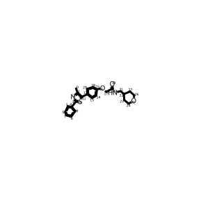 Cc1nc(-c2ccccc2)sc1-c1ccc(OCC(=O)NCC2CCOCC2)cc1